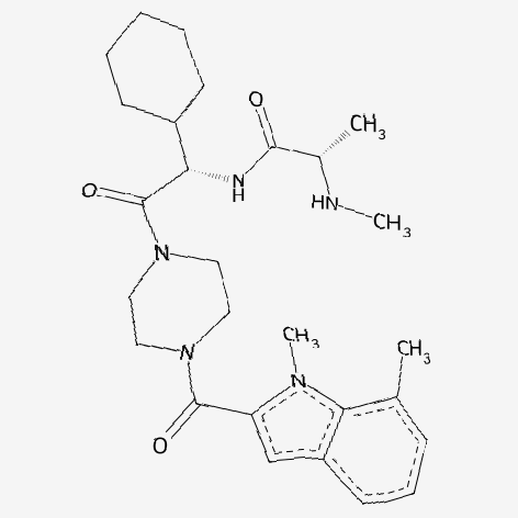 CN[C@@H](C)C(=O)N[C@H](C(=O)N1CCN(C(=O)c2cc3cccc(C)c3n2C)CC1)C1CCCCC1